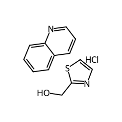 Cl.OCc1nccs1.c1ccc2ncccc2c1